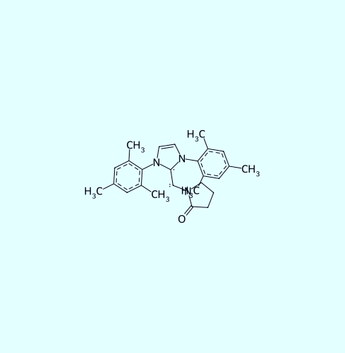 Cc1cc(C)c(N2C=CN(c3c(C)cc(C)cc3C)[C]2[C]N2CCCC2=O)c(C)c1